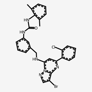 Cc1cccc(C)c1NC(=O)Nc1cccc(CNc2cc(-c3ccccc3Cl)nc3c(Br)cnn23)c1